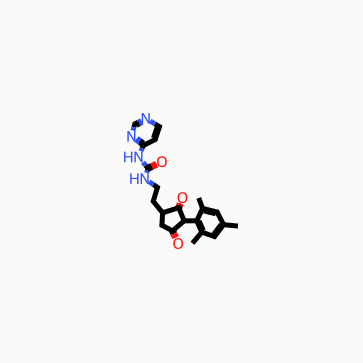 Cc1cc(C)c(C2C(=O)CC(CCNC(=O)Nc3ccncn3)C2=O)c(C)c1